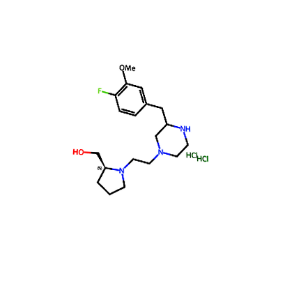 COc1cc(CC2CN(CCN3CCC[C@H]3CO)CCN2)ccc1F.Cl.Cl